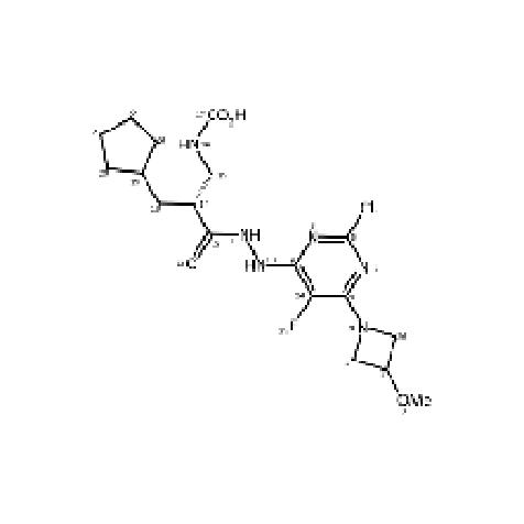 COC1CN(c2nc(Cl)nc(NNC(=O)[C@@H](CNC(=O)O)CC3CCCC3)c2F)C1